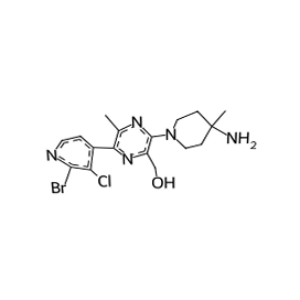 Cc1nc(N2CCC(C)(N)CC2)c(CO)nc1-c1ccnc(Br)c1Cl